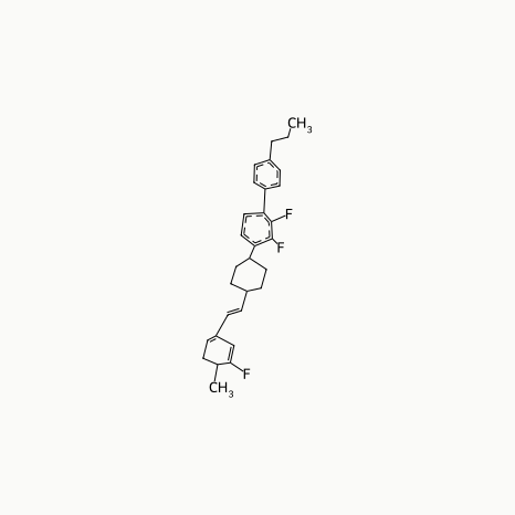 CCCc1ccc(-c2ccc(C3CCC(/C=C/C4=CCC(C)C(F)=C4)CC3)c(F)c2F)cc1